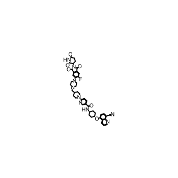 N#Cc1ccc(O[C@H]2CC[C@H](NC(=O)c3ccc(N4CCC(CN5CCN(c6cc7c(cc6F)C(=O)N(C6CCC(=O)NC6=O)C7=O)CC5)CC4)nc3)CC2)c2cccnc12